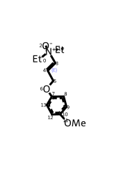 CC[N+]([O-])(/C=C/COc1ccc(OC)cc1)CC